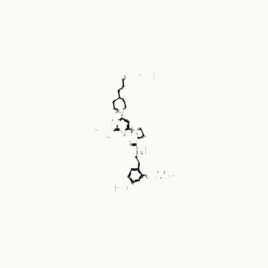 COc1cc(C(F)(F)F)ccc1CCNC(=O)[C@@H]1CCN1c1cc(N2CCC(CCCC(=O)O)CC2)nc(C(F)(F)F)n1